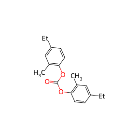 CCc1ccc(OC(=O)Oc2ccc(CC)cc2C)c(C)c1